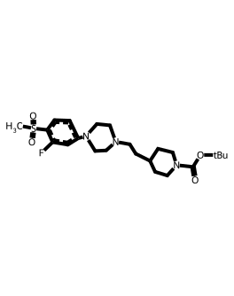 CC(C)(C)OC(=O)N1CCC(CCN2CCN(c3ccc(S(C)(=O)=O)c(F)c3)CC2)CC1